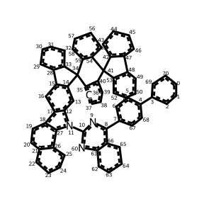 c1ccc(-c2ccc(-c3nc(-n4c5cc6c(cc5c5ccc7ccccc7c54)-c4ccccc4C64c5ccccc5C5(c6ccccc6-c6ccccc65)c5ccccc54)nc4ccccc34)cc2)cc1